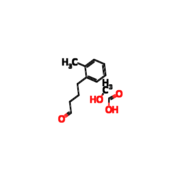 CO.Cc1ccccc1CCCC=O.O=CO